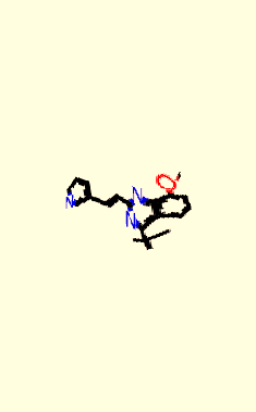 COc1cccc2c(C(C)(C)C)nc(/C=C/c3cccnc3)nc12